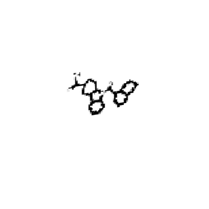 O=C(O)C1CCc2c(c3ccccc3n2C(=O)c2cccc3ccccc23)C1